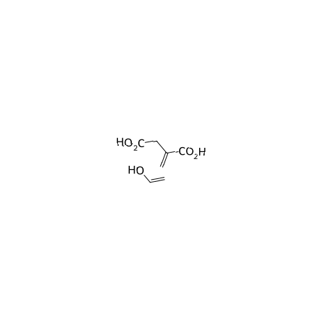 C=C(CC(=O)O)C(=O)O.C=CO